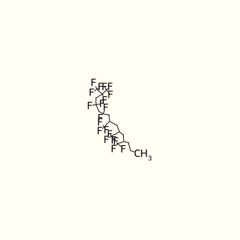 CCCC(CC(CC(CC(F)(F)CC(F)(F)CC(F)(C(F)(F)F)C(F)(F)F)C(F)(F)F)C(F)(F)F)C(F)(F)F